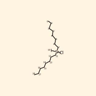 CCCCCCCC[Si](Cl)(I)CCCCCCCC